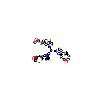 CC1(C)c2cc(-c3ccc4oc5ccccc5c4c3)ccc2-c2ccc(N(c3ccc(-c4cc(-c5ccc(N(c6ccc7c(c6)C(C)(C)c6cc(-c8ccc9oc%10ccccc%10c9c8)ccc6-7)c6cccc7ccccc67)cc5)cc(-c5ccc(N(c6ccc7c(c6)C(C)(C)c6cc(-c8ccc9oc%10ccccc%10c9c8)ccc6-7)c6cccc7ccccc67)cc5)c4)cc3)c3cccc4ccccc34)cc21